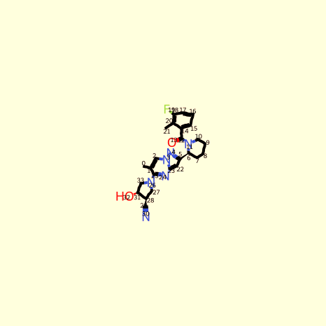 Cc1cn2nc([C@@H]3CCCCN3C(=O)c3cccc(F)c3C)cc2nc1N1C[C@@H](C#N)[C@@H](O)C1